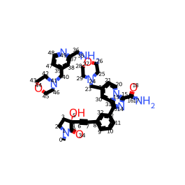 CN1CC[C@@](O)(C#Cc2cccc(-c3nc(C(N)=O)n4ccc(CN5CCOCC5)cc34)c2)C1=O.NCc1cc(CN2CCOCC2)ccn1